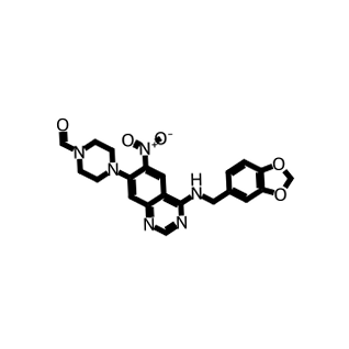 O=CN1CCN(c2cc3ncnc(NCc4ccc5c(c4)OCO5)c3cc2[N+](=O)[O-])CC1